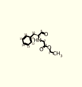 CCOC(=O)CN[C@H]([C]=O)Cc1ccccc1